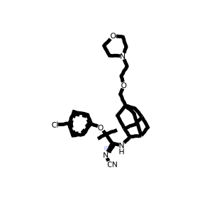 CC(C)(Oc1ccc(Cl)cc1)/C(=N/C#N)NC1C2CC3CC1CC(COCCN1CCOCC1)(C3)C2